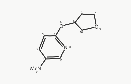 CNc1ccc(OC2CCOC2)nc1